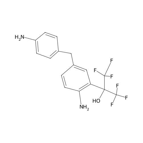 Nc1ccc(Cc2ccc(N)c(C(O)(C(F)(F)F)C(F)(F)F)c2)cc1